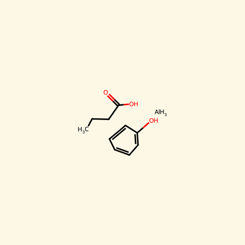 CCCC(=O)O.Oc1ccccc1.[AlH3]